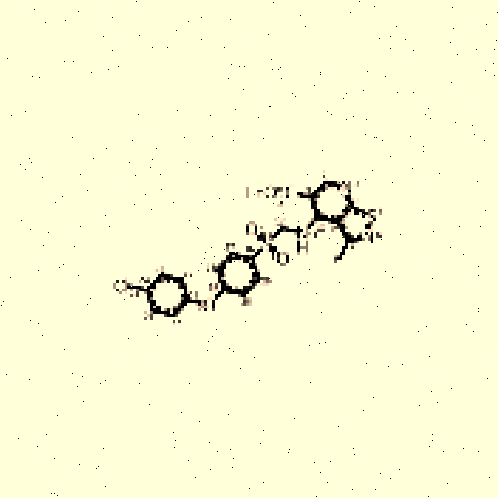 CCOC(=O)c1cnc2snc(C)c2c1NCS(=O)(=O)c1ccc(Oc2ccc(Cl)cc2)cc1